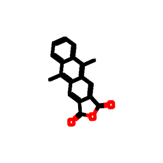 Cc1c2ccccc2c(C)c2cc3c(cc12)C(=O)OC3=O